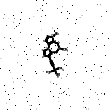 CN1Cc2c(C#CC(C)(C)O)ncn2-c2cc[s+]([O-])c2C1